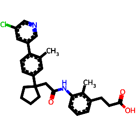 Cc1cc(C2(CC(=O)Nc3cccc(CCC(=O)O)c3C)CCCC2)ccc1-c1cncc(Cl)c1